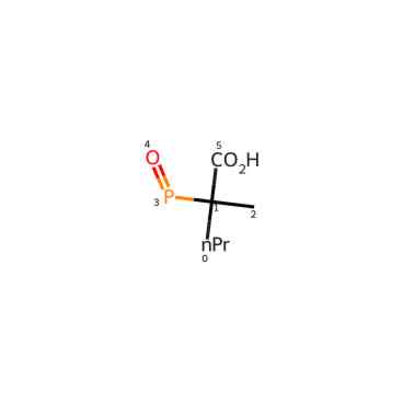 CCCC(C)(P=O)C(=O)O